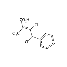 O=C(O)C(=C(Cl)C(Cl)c1ccccc1)C(Cl)(Cl)Cl